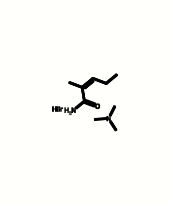 Br.CCC=C(C)C(N)=O.CN(C)C